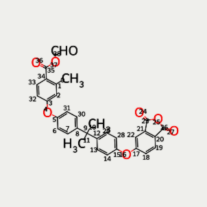 Cc1cc(Oc2ccc(C(C)(C)c3ccc(Oc4ccc5c(c4)C(=O)OC5=O)cc3)cc2)ccc1C(=O)OC=O